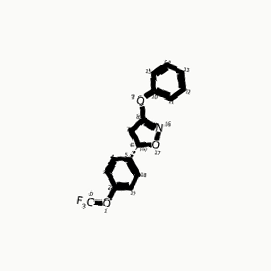 FC(F)(F)Oc1ccc([C@@H]2CC(Oc3ccccc3)=NO2)cc1